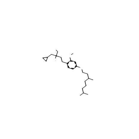 COc1cc(OCCC(C)CCCC(C)C)ccc1CCC(N)(CO)CC1CC1